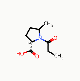 CCC(=O)N1C(C)CC[C@H]1C(=O)O